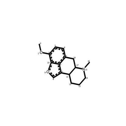 COc1ccc2c3c(coc13)C1CCCN(C)C1C2